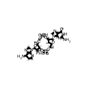 Nc1nc2c(ncn2[C@@H]2O[C@@H]3COP(=O)(O)O[C@@H]4C(F)[C@H](n5cnc6c(N)ccnc65)O[C@@H]4COP(=O)(O)O[C@@H]2C3)c(=O)[nH]1